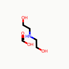 O=CO.OCCNCCO